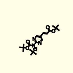 CC(C)(C)OC(=O)C=Cc1cnc(N(OC(C)(C)C)C(=O)OC(C)(C)C)nc1